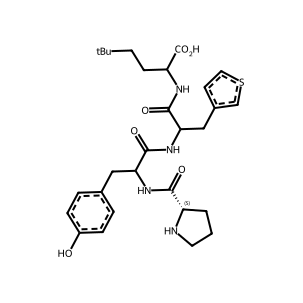 CC(C)(C)CCC(NC(=O)C(Cc1ccsc1)NC(=O)C(Cc1ccc(O)cc1)NC(=O)[C@@H]1CCCN1)C(=O)O